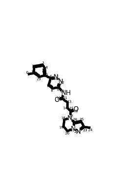 Cc1cccc(-c2ccc(NC(=O)CCC(=O)N3CCCn4nc(C)cc43)nn2)c1